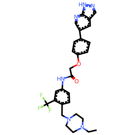 CCN1CCN(Cc2ccc(NC(=O)COc3ccc(-c4cnc5[nH]ncc5c4)cc3)cc2C(F)(F)F)CC1